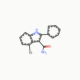 CCc1cccc2[nH]c(-c3ccccc3)c(C(N)=O)c12